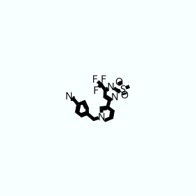 CS(=O)(=O)c1nc(C2=CN(Cc3ccc(C#N)cc3)CC=C2)cc(C(F)(F)F)n1